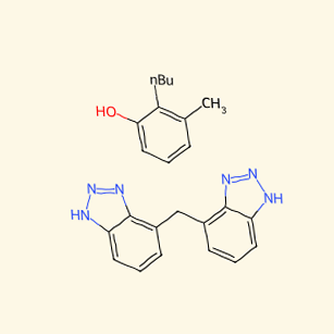 CCCCc1c(C)cccc1O.c1cc(Cc2cccc3[nH]nnc23)c2nn[nH]c2c1